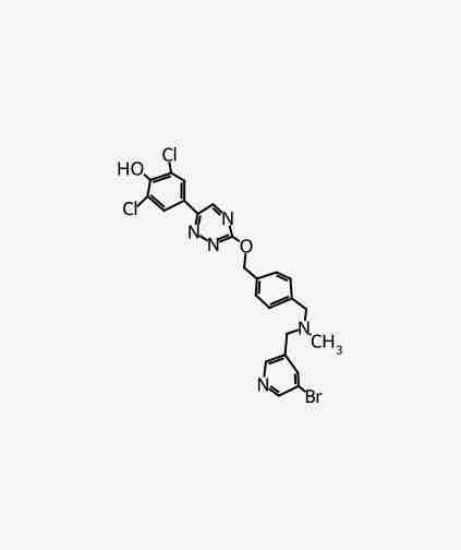 CN(Cc1ccc(COc2ncc(-c3cc(Cl)c(O)c(Cl)c3)nn2)cc1)Cc1cncc(Br)c1